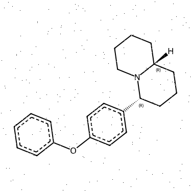 c1ccc(Oc2ccc([C@H]3CCC[C@H]4CCCCN43)cc2)cc1